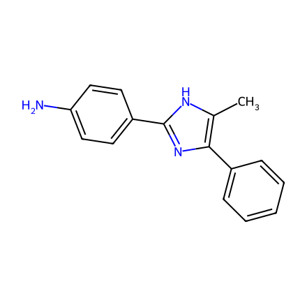 Cc1[nH]c(-c2ccc(N)cc2)nc1-c1ccccc1